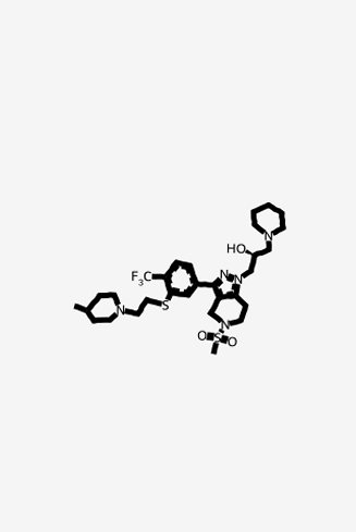 CC1CCN(CCSc2cc(-c3nn(C[C@@H](O)CN4CCCCC4)c4c3CN(S(C)(=O)=O)CC4)ccc2C(F)(F)F)CC1